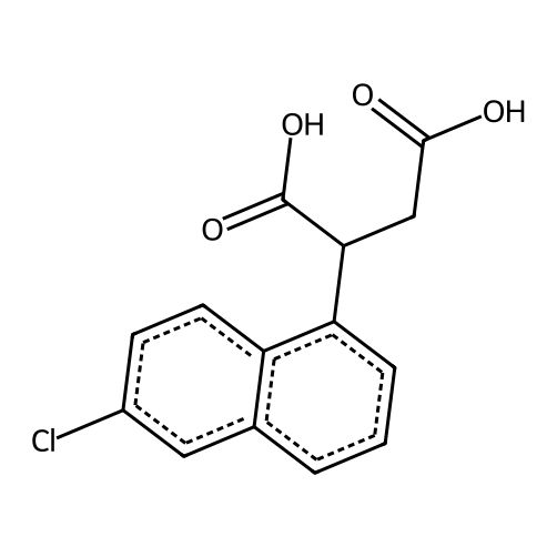 O=C(O)CC(C(=O)O)c1cccc2cc(Cl)ccc12